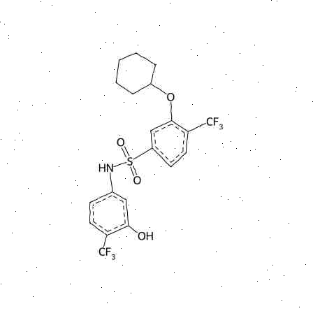 O=S(=O)(Nc1ccc(C(F)(F)F)c(O)c1)c1ccc(C(F)(F)F)c(OC2CCCCC2)c1